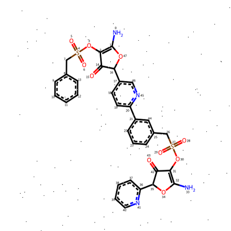 NC1=C(OS(=O)(=O)Cc2ccccc2)C(=O)C(c2ccc(-c3cccc(CS(=O)(=O)OC4=C(N)OC(c5ccccn5)C4=O)c3)nc2)O1